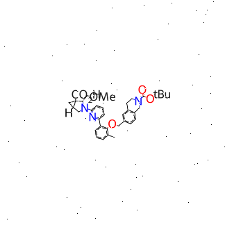 COC[C@H]1N(c2cccc(-c3cccc(C)c3OCc3ccc4c(c3)CCN(C(=O)OC(C)(C)C)C4)n2)C[C@@H]2C[C@@]21C(=O)O